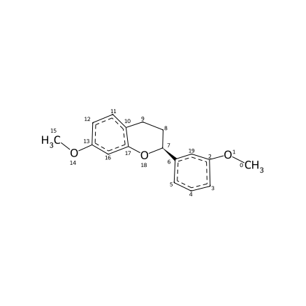 COc1cccc([C@@H]2CCc3ccc(OC)cc3O2)c1